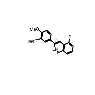 COc1ccc(/C(C#N)=C/c2c(F)cccc2F)cc1OC